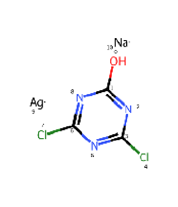 Oc1nc(Cl)nc(Cl)n1.[Ag].[Na]